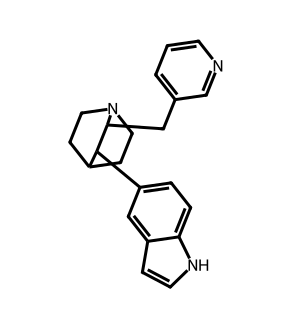 c1cncc(CC2C(c3ccc4[nH]ccc4c3)C3CCN2CC3)c1